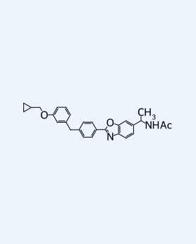 CC(=O)NC(C)c1ccc2nc(-c3ccc(Cc4cccc(OCC5CC5)c4)cc3)oc2c1